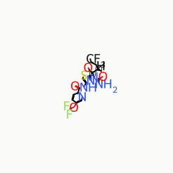 NC1=N[C@]2(c3nc(NC(=O)c4ccc(OC(F)F)cn4)cs3)COC(C(F)(F)F)C[C@@H]2CO1